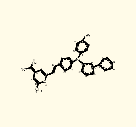 CCCc1ccc(N(c2ccc(/C=C/C3=CC(=C(C#N)C#N)C=C(C)O3)cc2)c2cccc(-c3ccccc3)c2)cc1